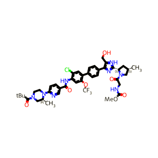 COC(=O)NCC(=O)N1C[C@@H](C)C[C@H]1c1nc(-c2ccc(-c3cc(Cl)c(NC(=O)c4ccc(N5CCN(C(=O)C(C)(C)C)C[C@H]5C)nc4)cc3OC(F)(F)F)cc2)c(CO)[nH]1